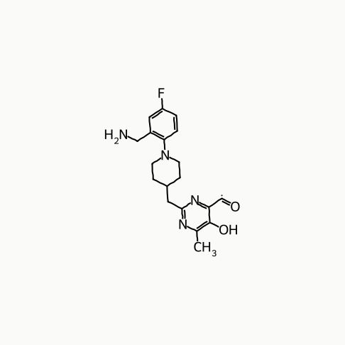 Cc1nc(CC2CCN(c3ccc(F)cc3CN)CC2)nc([C]=O)c1O